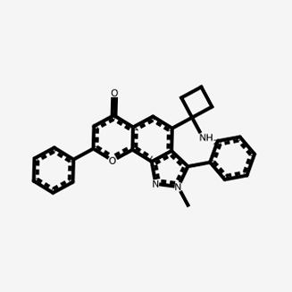 Cn1nc2c(c(C3(N)CCC3)cc3c(=O)cc(-c4ccccc4)oc32)c1-c1ccccc1